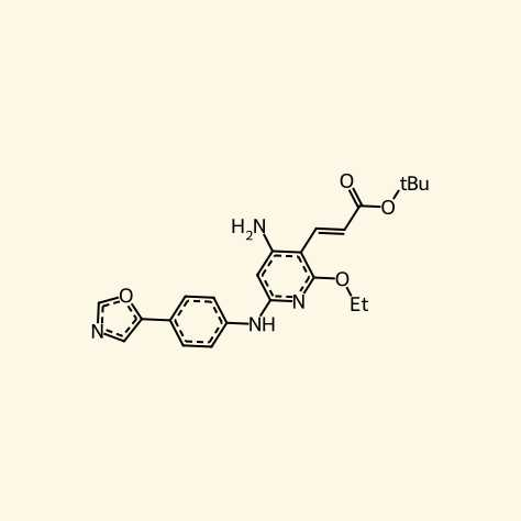 CCOc1nc(Nc2ccc(-c3cnco3)cc2)cc(N)c1/C=C/C(=O)OC(C)(C)C